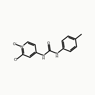 Cc1ccc(NC(=O)Nc2cc[n+]([O-])c(Cl)c2)cc1